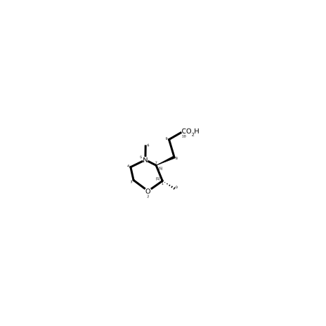 C[C@@H]1OCCN(C)[C@H]1CCC(=O)O